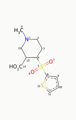 CN1CCC(S(=O)(=O)c2cccs2)C(C(=O)O)C1